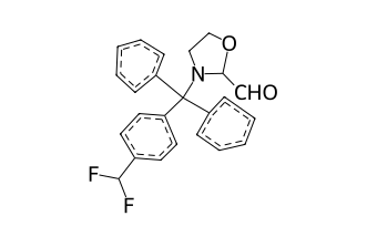 O=CC1OCCN1C(c1ccccc1)(c1ccccc1)c1ccc(C(F)F)cc1